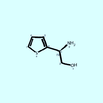 N[C@@H](CO)c1cccs1